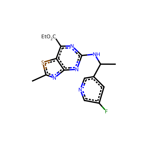 CCOC(=O)c1nc(NC(C)c2cncc(F)c2)nc2nc(C)sc12